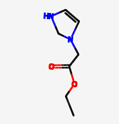 CCOC(=O)CN1C=CNC1